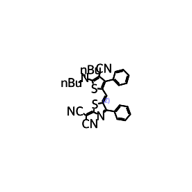 CCCCN(CCCC)c1sc(/C=c2\sc(=C(C#N)C#N)nc2-c2ccccc2)c(-c2ccccc2)c1C#N